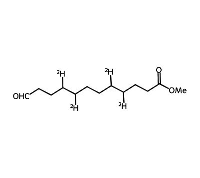 [2H]C(CCC=O)C([2H])CCC([2H])C([2H])CCC(=O)OC